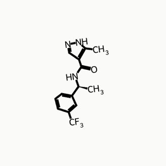 Cc1[nH]ncc1C(=O)N[C@@H](C)c1cccc(C(F)(F)F)c1